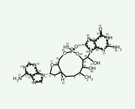 CC1CC[C@@H]2C[C@H](n3cnc4c(N)ncnc43)OC2COP(=O)(S)OC(C(O)n2cnc3c(=O)[nH]c(N)nc32)C1O